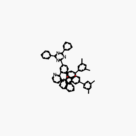 Cc1cc(C)cc(-c2ccc3c(c2)c2ccccc2n3-c2ccc(-c3nc(-c4ccccc4)nc(-c4ccccc4)n3)cc2-c2ncccc2-n2c3ccccc3c3cc(-c4cc(C)cc(C)c4)ccc32)c1